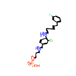 O=[PH](O)OCCCNCc1ccc(NCCCCCc2cccc(F)c2)c(Cl)c1